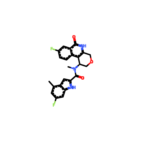 Cc1cc(F)cc2[nH]c(C(=O)N(C)[C@@H]3COCc4[nH]c(=O)c5cc(F)ccc5c43)cc12